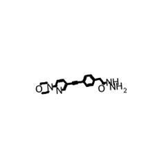 NNC(=O)Cc1ccc(C#Cc2ccc(N3CCOCC3)nc2)cc1